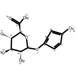 Cc1ccc(OC2O[C@H](C(=O)O)[C@@H](O)[C@H](O)[C@H]2O)cc1